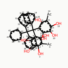 CC(=O)c1c(O)c(O)c(O)c(C(c2ccccc2)(c2c(O)c(O)c(O)c(C(C)=O)c2O)C(c2ccccc2)(c2ccccc2)c2ccccc2)c1O